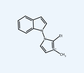 CCc1n(-n2ccc3ccccc32)cc[n+]1C